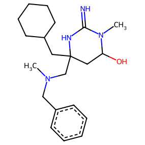 CN(Cc1ccccc1)CC1(CC2CCCCC2)CC(O)N(C)C(=N)N1